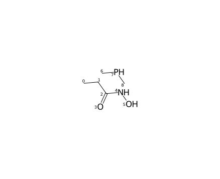 CCC(=O)NO.CPC